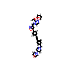 CC(OC1CCCCO1)c1nccn1Cc1cc(-c2ccc(C#Cc3ccc(CN4CCC(N5CCOCC5)CC4)cc3)cc2)on1